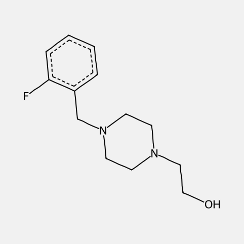 OCCN1CCN(Cc2ccccc2F)CC1